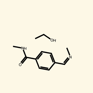 C/N=C\c1ccc(C(=O)NC)cc1.CCO